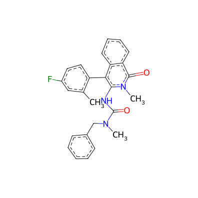 Cc1cc(F)ccc1-c1c(NC(=O)N(C)Cc2ccccc2)n(C)c(=O)c2ccccc12